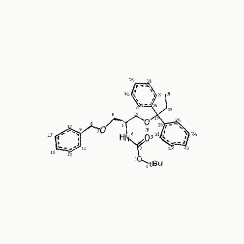 CC(C)(C)OC(=O)N[C@@H](COCc1ccccc1)COC(CI)(c1ccccc1)c1ccccc1